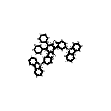 c1ccc2c(c1)c1ccccc1n2-c1ccc2oc3c(c(C4CCCCC4)c(C4CCCCC4)c4oc5ccc(-n6c7ccccc7c7ccccc76)cc5c43)c2c1